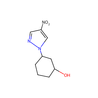 O=[N+]([O-])c1cnn(C2CCCC(O)C2)c1